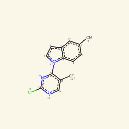 N#Cc1ccc2c(ccn2-c2nc(Cl)ncc2C(F)(F)F)c1